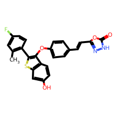 Cc1cc(F)ccc1-c1sc2cc(O)ccc2c1Oc1ccc(C=Cc2n[nH]c(=O)o2)cc1